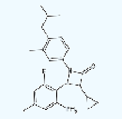 Cc1cc(F)c(C2C(C3CC3)C(=O)N2c2ccc(CC(C)C)c(C)c2)c(P)c1